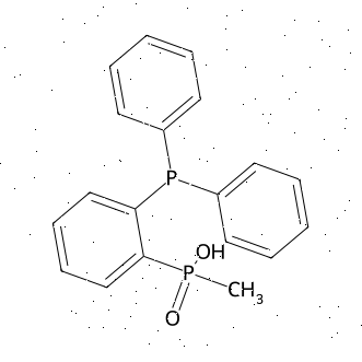 CP(=O)(O)c1ccccc1P(c1ccccc1)c1ccccc1